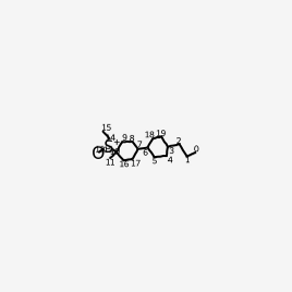 CCCC1CCC(C2CCC(C)([S+]([O-])CC)CC2)CC1